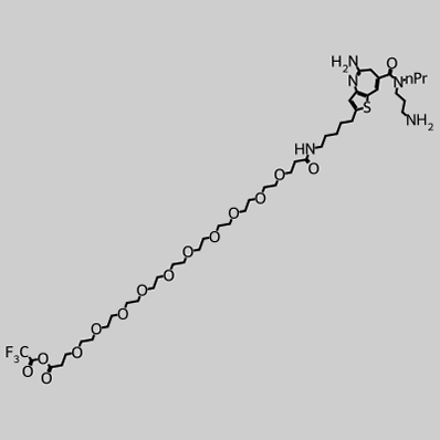 CCCN(CCCN)C(=O)C1=Cc2sc(CCCCCNC(=O)CCOCCOCCOCCOCCOCCOCCOCCOCCOCCOCCC(=O)OC(=O)C(F)(F)F)cc2N=C(N)C1